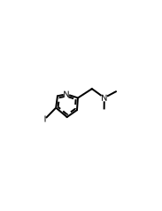 CN(C)Cc1ccc(I)cn1